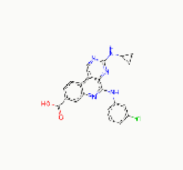 O=C(O)c1ccc2c(c1)nc(Nc1cccc(Cl)c1)c1nc(NC3CC3)ncc12